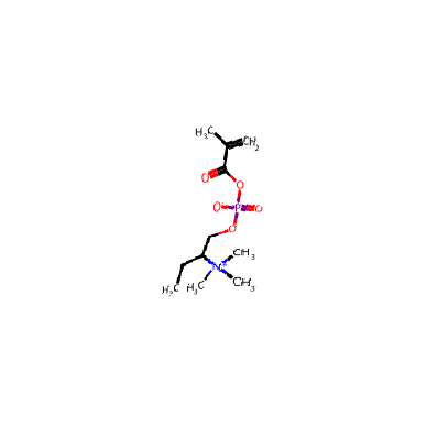 C=C(C)C(=O)OP(=O)([O-])OCC(CC)[N+](C)(C)C